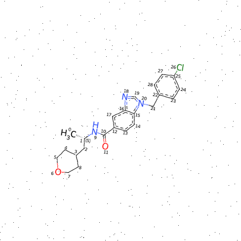 C[C@@H](CC1CCOCC1)NC(=O)c1ccc2c(c1)ncn2Cc1ccc(Cl)cc1